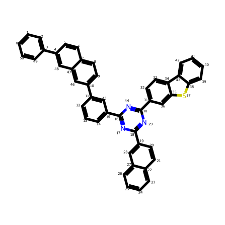 c1ccc(-c2ccc3ccc(-c4cccc(-c5nc(-c6ccc7ccccc7c6)nc(-c6ccc7c(c6)sc6ccccc67)n5)c4)cc3c2)cc1